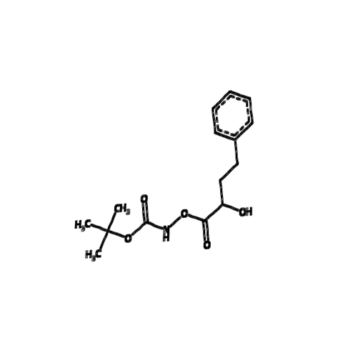 CC(C)(C)OC(=O)NOC(=O)C(O)CCc1ccccc1